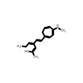 CC/C=C(\C=C(\C)O)/C=C/C1=CC=C(NC)C=CC1